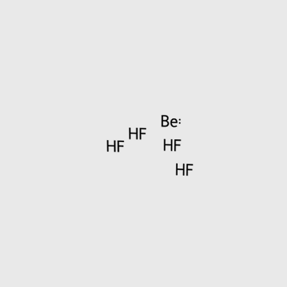 F.F.F.F.[Be]